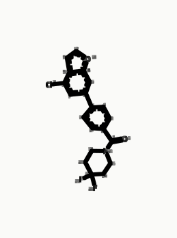 O=C(c1ccc(-c2cc(Cl)c3ccoc3c2)cc1)N1CCC(F)(F)CC1